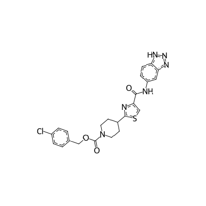 O=C(Nc1ccc2[nH]nnc2c1)c1csc(C2CCN(C(=O)OCc3ccc(Cl)cc3)CC2)n1